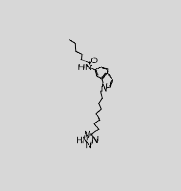 CCCCCC(=O)Nc1ccc2ccn(CCCCCCCCc3nn[nH]n3)c2c1